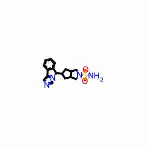 NS(=O)(=O)N1CC2CC(C3c4ccccc4-c4cncn43)CC2C1